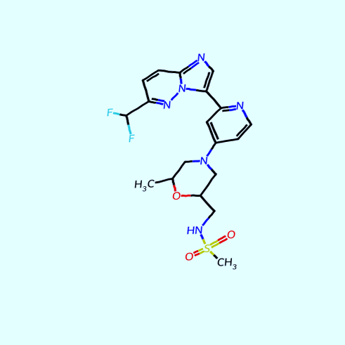 CC1CN(c2ccnc(-c3cnc4ccc(C(F)F)nn34)c2)CC(CNS(C)(=O)=O)O1